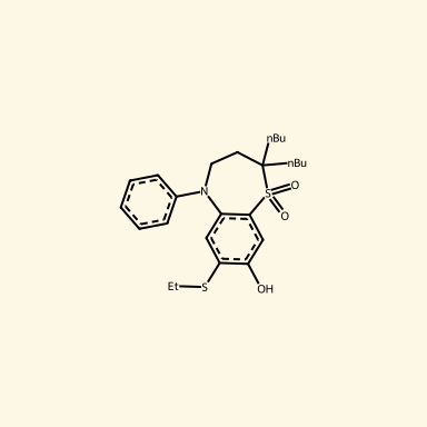 CCCCC1(CCCC)CCN(c2ccccc2)c2cc(SCC)c(O)cc2S1(=O)=O